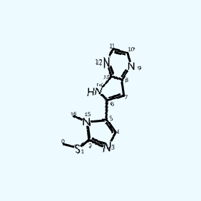 CSc1ncc(-c2cc3nccnc3[nH]2)n1C